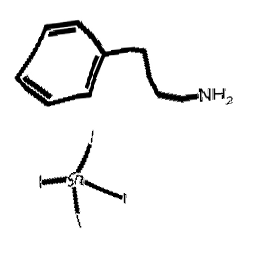 NCCc1ccccc1.[I][Sn]([I])([I])[I]